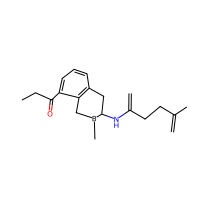 C=C(C)CCC(=C)NC1Cc2cccc(C(=O)CC)c2CB1C